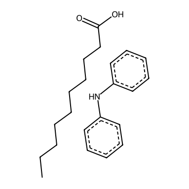 CCCCCCCCCC(=O)O.c1ccc(Nc2ccccc2)cc1